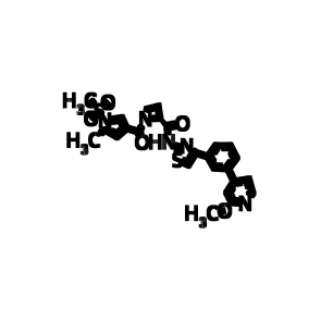 COc1cc(-c2cccc(-c3csc(NC(=O)[C@@H]4CCN4C(=O)c4cc(C)n(S(C)(=O)=O)c4)n3)c2)ccn1